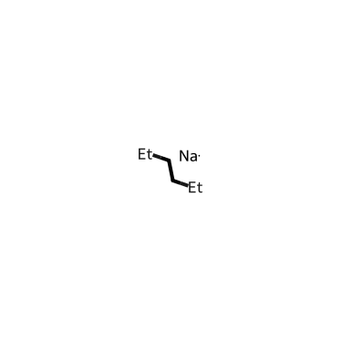 CCCCCC.[Na]